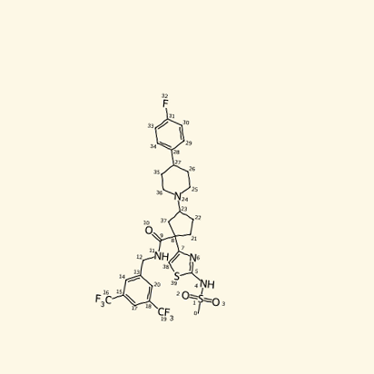 CS(=O)(=O)Nc1nc(C2(C(=O)NCc3cc(C(F)(F)F)cc(C(F)(F)F)c3)CCC(N3CCC(c4ccc(F)cc4)CC3)C2)cs1